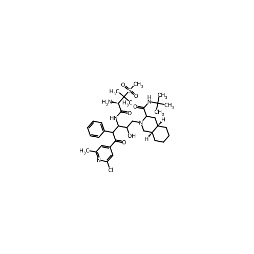 Cc1cc(C(=O)C(c2ccccc2)C(NC(=O)[C@@H](N)C(C)(C)S(C)(=O)=O)C(O)CN2C[C@H]3CCCC[C@H]3CC2C(=O)NC(C)(C)C)cc(Cl)n1